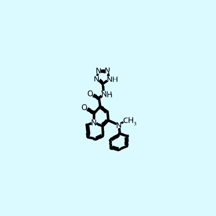 CN(c1ccccc1)c1cc(C(=O)Nc2nnn[nH]2)c(=O)n2ccccc12